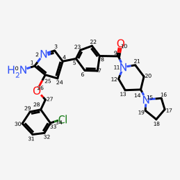 Nc1ncc(-c2ccc(C(=O)N3CCC(N4CCCC4)CC3)cc2)cc1OCc1ccccc1Cl